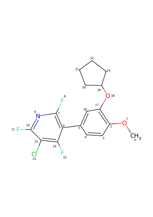 COc1ccc(-c2c(F)nc(F)c(Cl)c2F)cc1OC1CCCC1